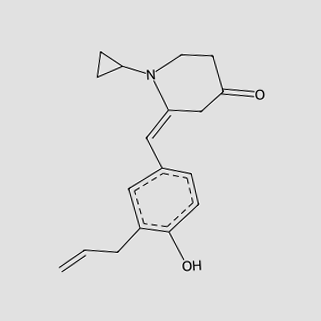 C=CCc1cc(C=C2CC(=O)CCN2C2CC2)ccc1O